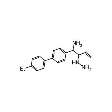 C=CC(NN)C(N)c1ccc(-c2ccc(CC)cc2)cc1